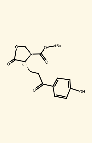 CC(C)(C)OC(=O)N1COC(=O)[C@H]1CCC(=O)c1ccc(O)cc1